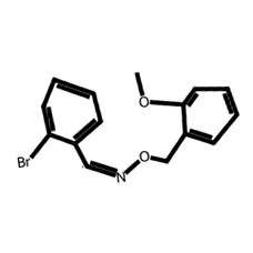 COc1ccccc1CO/N=[C]\c1ccccc1Br